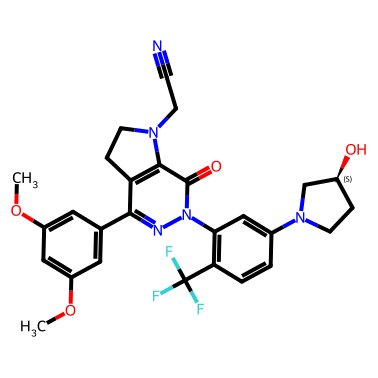 COc1cc(OC)cc(-c2nn(-c3cc(N4CC[C@H](O)C4)ccc3C(F)(F)F)c(=O)c3c2CCN3CC#N)c1